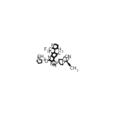 CC#CC(=O)N1CC[C@H](n2nnc3c(OC[C@@H]4CCCN4C)nc4c(F)c(-c5cccnc5C(F)(F)F)c(C)cc4c32)C[C@H]1CC#N